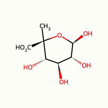 C[C@]1(C(=O)O)O[C@@H](O)[C@H](O)[C@@H](O)[C@@H]1O